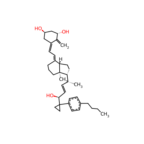 C=C1/C(=C\C=C2/CCC[C@]3(C)[C@@H]([C@H](C)/C=C/[C@H](O)C4(c5ccc(CCCC)cc5)CC4)CC[C@@H]23)C[C@@H](O)C[C@@H]1O